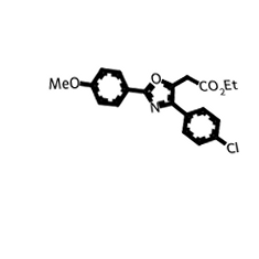 CCOC(=O)Cc1oc(-c2ccc(OC)cc2)nc1-c1ccc(Cl)cc1